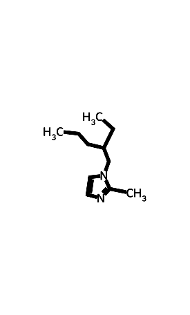 CCCC(CC)Cn1ccnc1C